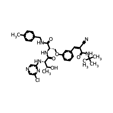 Cc1ccc(CNC(=O)[C@H](COc2cccc(C=C(C#N)C(=O)NC(C)(C)C)c2)NC(=O)[C@@H](Nc2cncc(Cl)n2)[C@@H](C)O)cc1